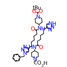 CC(C)(C)OC(=O)N1CCC(NC(=O)CCCCCc2cn(Cc3ccccc3)nn2)CC1.O=C(CCCCCc1c[nH]nn1)NC1CCN(C(=O)O)CC1